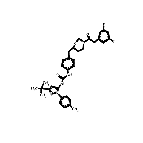 Cc1ccc(-n2nc(C(C)(C)C)cc2NC(=O)Nc2ccc(CC3CCN(C(=O)Cc4cc(F)cc(F)c4)CC3)cc2)cc1